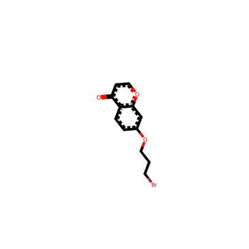 O=c1ccoc2cc(OCCCBr)ccc12